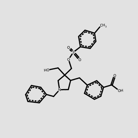 Cc1ccc(S(=O)(=O)OCC2(CO)CN(Cc3ccccc3)CC2Cc2cccc(C(=O)O)c2)cc1